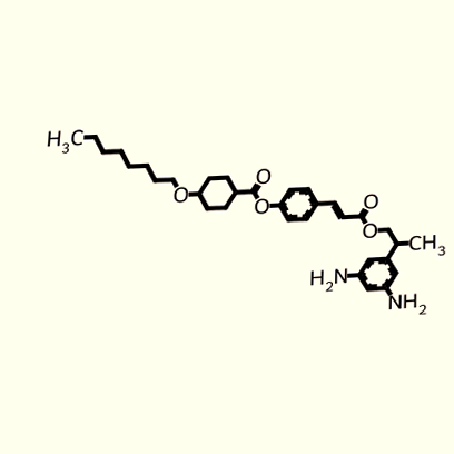 CCCCCCCCOC1CCC(C(=O)Oc2ccc(/C=C/C(=O)OCC(C)c3cc(N)cc(N)c3)cc2)CC1